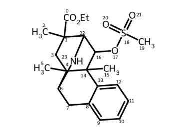 CCOC(=O)C1(C)CC2(C)C3Cc4ccccc4C2(C)C(OS(C)(=O)=O)C1N3